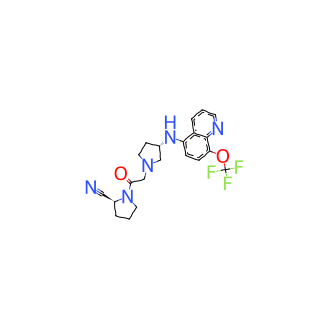 N#C[C@@H]1CCCN1C(=O)CN1CC[C@H](Nc2ccc(OC(F)(F)F)c3ncccc23)C1